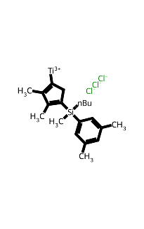 CCCC[Si](C)(C1=C(C)C(C)=[C]([Ti+3])C1)c1cc(C)cc(C)c1.[Cl-].[Cl-].[Cl-]